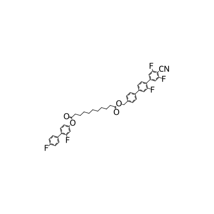 N#Cc1c(F)cc(-c2ccc(-c3ccc(COC(=O)CCCCCCCCCC(=O)Oc4ccc(-c5ccc(F)cc5)c(F)c4)cc3)cc2F)cc1F